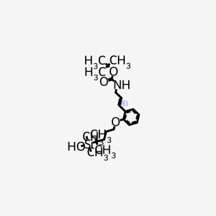 CC(C)(C)OC(=O)NC/C=C/c1ccccc1OCCCC(C)(C)[Si](C)(C)O